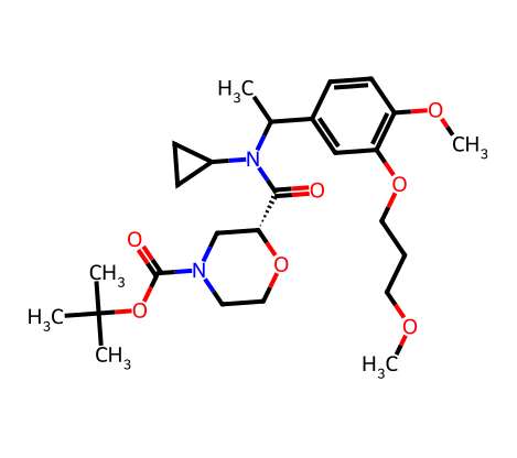 COCCCOc1cc(C(C)N(C(=O)[C@H]2CN(C(=O)OC(C)(C)C)CCO2)C2CC2)ccc1OC